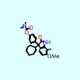 COc1ccc2c(c1C)NC(=O)C2(c1ccc(OC(=O)N(C)C)cc1)C1CCCCCC1